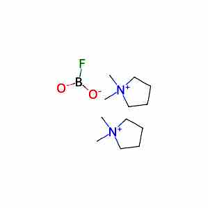 C[N+]1(C)CCCC1.C[N+]1(C)CCCC1.[O-]B([O-])F